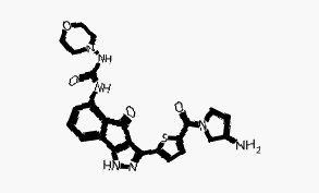 NC1CCN(C(=O)c2ccc(-c3n[nH]c4c3C(=O)c3c(NC(=O)NN5CCOCC5)cccc3-4)s2)C1